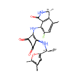 Cc1cc([C@@H](Nc2c(Nc3c(F)cc(C)c4c3C(=O)N[C@@H]4C)c(=O)c2=O)C(C)(C)C)oc1C